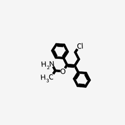 CC(N)OC(=C(CCCl)c1ccccc1)c1ccccc1